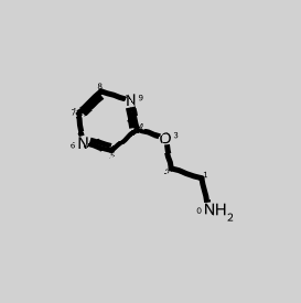 NCCOc1cnccn1